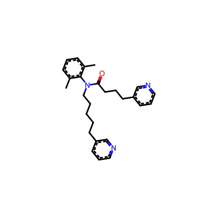 Cc1cccc(C)c1N(CCCCCc1cccnc1)C(=O)CCCc1cccnc1